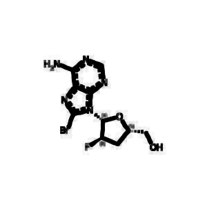 Nc1ncnc2c1nc(Br)n2[C@@H]1O[C@H](CO)C[C@H]1F